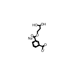 O=C([O-])c1cccc(C(=O)OCCC(O)O)c1.[Na+]